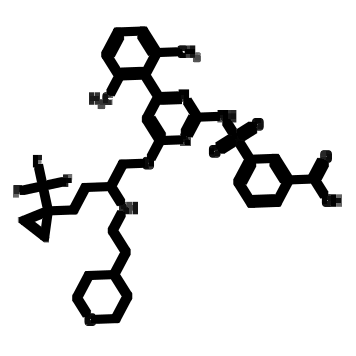 Cc1cccc(C)c1-c1cc(OCC(CCC2(C(F)(F)F)CC2)NCCC2CCOCC2)nc(NS(=O)(=O)c2cccc(C(=O)O)c2)n1